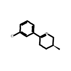 C[C@H]1CCC(c2cccc(Cl)c2)=NC1